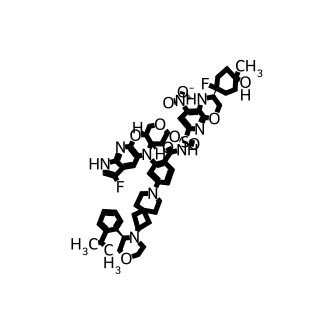 CC(C)c1ccccc1[C@@H]1COCCN1C1CC2(CCN(c3ccc(C(=O)NS(=O)(=O)c4cc([N+](=O)[O-])c5c(n4)OC[C@@H](C4(F)CCC(C)(O)CC4)N5)c(N4c5cc6c(F)c[nH]c6nc5O[C@H]5COCC[C@@H]54)c3)CC2)C1